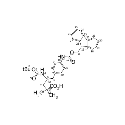 CC(C)(C)OC(=O)N[C@@H](Cc1ccc(NC(=O)OCC2c3ccccc3-c3ccccc32)cc1)CC(C)(C)C(=O)O